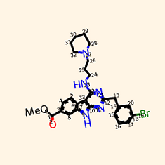 COC(=O)c1ccc2c(c1)[nH]c1nc(Cc3cccc(Br)c3)nc(NCCCN3CCCCC3)c12